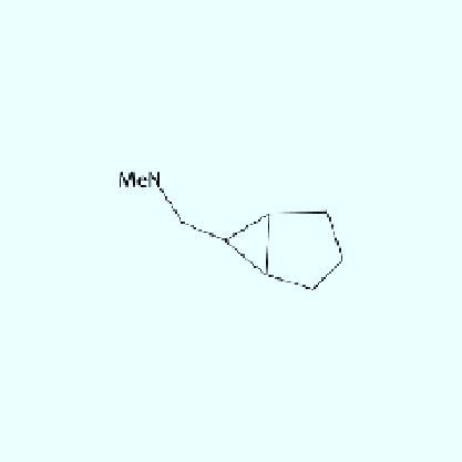 CNCC1C2CCCC21